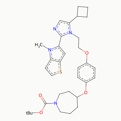 Cn1c(-c2ncc(C3CCC3)n2CCOc2ccc(OC3CCCN(C(=O)OC(C)(C)C)CC3)cc2)cc2sccc21